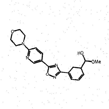 COC(O)C1C=CC=C(c2noc(-c3ccc(N4CCOCC4)nc3)n2)C1